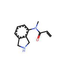 C=CC(=O)N(C)c1cccc2c1CNC2